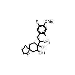 COc1cc(F)c(CC(C)C2(O)CCC3(CC2O)OCCO3)cc1F